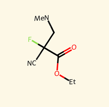 CCOC(=O)C(F)(C#N)CNC